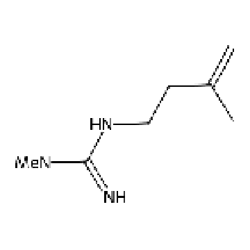 C=C(C)CCNC(=N)NC